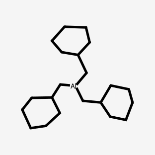 C1CCC([CH2][Al]([CH2]C2CCCCC2)[CH2]C2CCCCC2)CC1